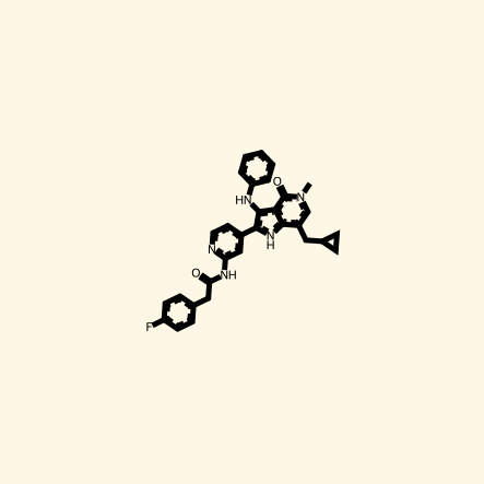 Cn1cc(CC2CC2)c2[nH]c(-c3ccnc(NC(=O)Cc4ccc(F)cc4)c3)c(Nc3ccccc3)c2c1=O